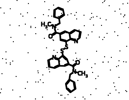 CN(Cc1ccccc1)C(=O)c1cc(SSc2cc(C(=O)N(C)Cc3ccccc3)cc3cccnc23)c2ncccc2c1